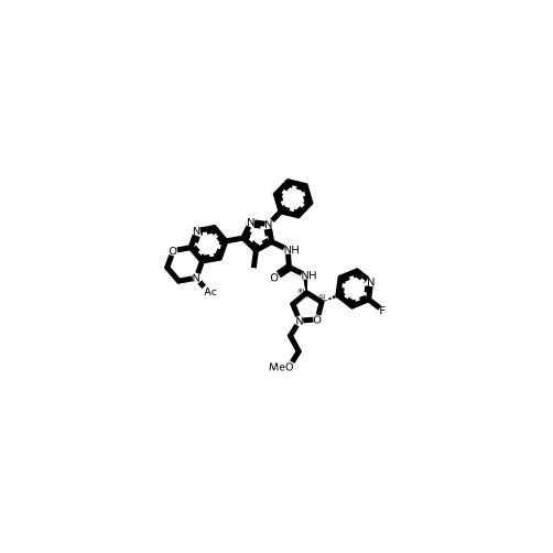 COCCN1C[C@@H](NC(=O)Nc2c(C)c(-c3cnc4c(c3)N(C(C)=O)CCO4)nn2-c2ccccc2)[C@H](c2ccnc(F)c2)O1